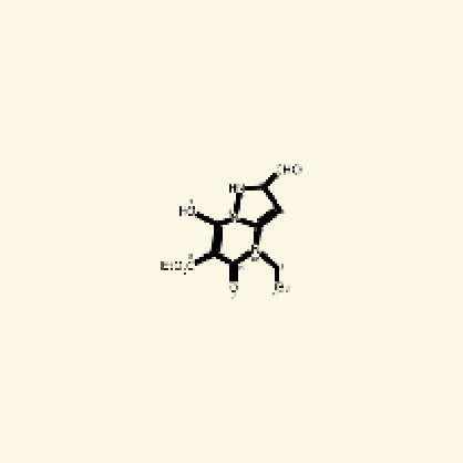 CCOC(=O)C1=C(O)N2NC(C=O)C=C2N(CC(C)(C)C)C1=O